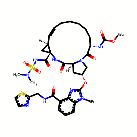 CC(C)n1c(O[C@@H]2C[C@H]3C(=O)N[C@]4(C(=O)NS(=O)(=O)N(C)C)C[C@H]4/C=C\CCCCC[C@H](NC(=O)OC(C)(C)C)C(=O)N3C2)nc2c(C(=O)NCc3nccs3)cccc21